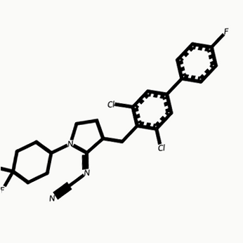 N#CN=C1C(Cc2c(Cl)cc(-c3ccc(F)cc3)cc2Cl)CCN1C1CCC(F)(F)CC1